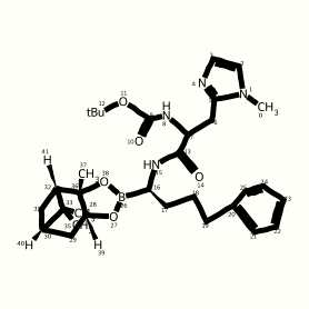 Cn1ccnc1CC(NC(=O)OC(C)(C)C)C(=O)N[C@@H](CCCc1ccccc1)B1O[C@@H]2C[C@@H]3C[C@@H](C3(C)C)[C@]2(C)O1